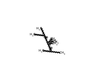 CCCCCCCCCCC(CCCCCCCC)COC(=O)CCCCCC(CCCCCC(=O)OCC(CCCCCCCC)CCCCCCCCCC)N(CCCN(C)C)C(=O)C(CC)CCCC